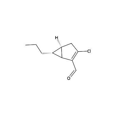 CCC[C@H]1C2C(C=O)=C(Cl)C[C@@H]21